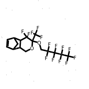 FC(F)(F)C(F)(F)C(F)(F)C(F)(F)COC1(C(F)(F)F)OCC2C3C=CC(C3)C2C1(F)F